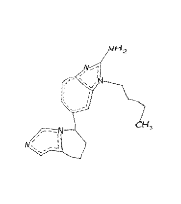 CCCCn1c(N)nc2ccc(C3CCc4cncn43)cc21